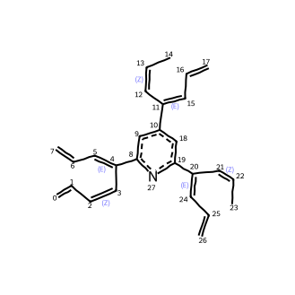 C=C/C=C\C(=C/C=C)c1cc(C(/C=C\C)=C/C=C)cc(C(/C=C\C)=C/C=C)n1